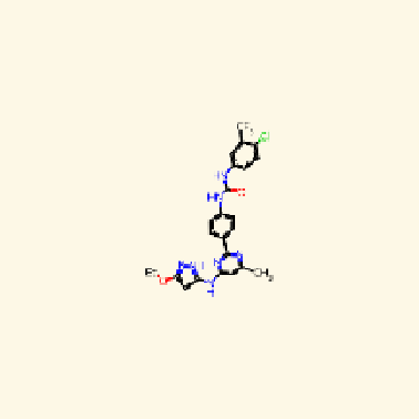 CCOc1cc(Nc2cc(C)nc(-c3ccc(NC(=O)Nc4ccc(Cl)c(C(F)(F)F)c4)cc3)n2)[nH]n1